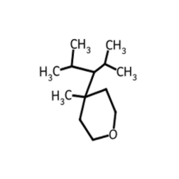 CC(C)C(C(C)C)C1(C)CCOCC1